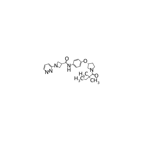 CCC(C)(C)C(=O)N1CC[C@@H](Oc2ccc(NC(=O)C3CN(c4cccnn4)C3)cc2)C1